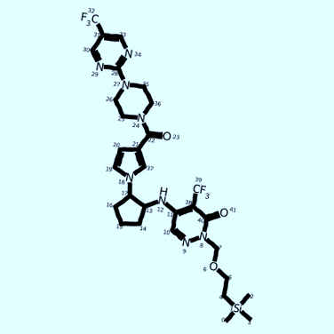 C[Si](C)(C)CCOCn1ncc(NC2CCCC2n2ccc(C(=O)N3CCN(c4ncc(C(F)(F)F)cn4)CC3)c2)c(C(F)(F)F)c1=O